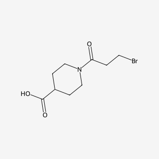 O=C(O)C1CCN(C(=O)CCBr)CC1